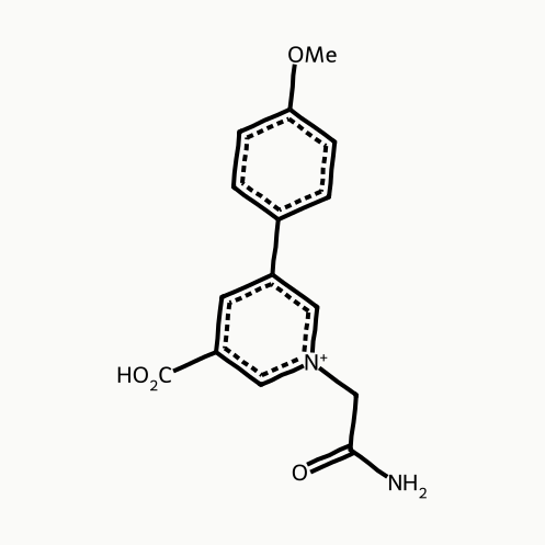 COc1ccc(-c2cc(C(=O)O)c[n+](CC(N)=O)c2)cc1